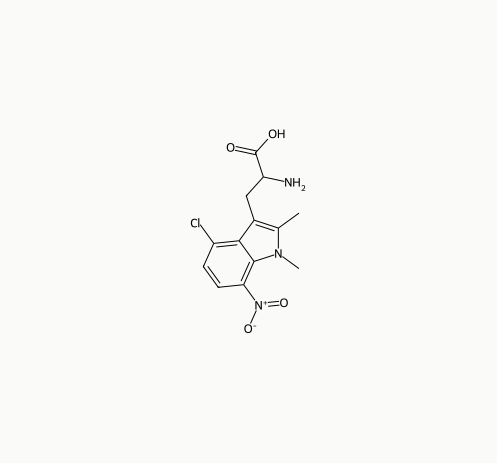 Cc1c(CC(N)C(=O)O)c2c(Cl)ccc([N+](=O)[O-])c2n1C